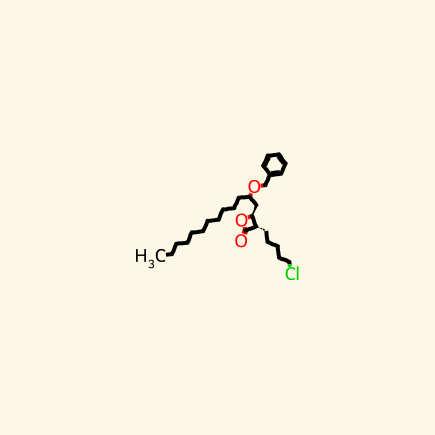 CCCCCCCCCCCC(C[C@@H]1OC(=O)[C@H]1CCCCCCl)OCc1ccccc1